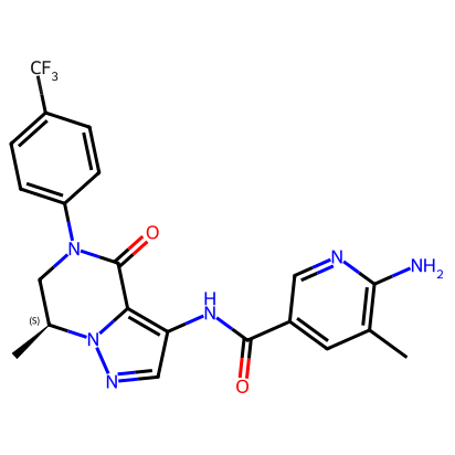 Cc1cc(C(=O)Nc2cnn3c2C(=O)N(c2ccc(C(F)(F)F)cc2)C[C@@H]3C)cnc1N